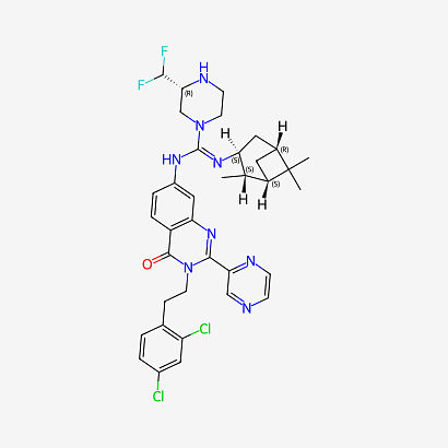 C[C@@H]1[C@@H](N=C(Nc2ccc3c(=O)n(CCc4ccc(Cl)cc4Cl)c(-c4cnccn4)nc3c2)N2CCN[C@@H](C(F)F)C2)C[C@H]2C[C@@H]1C2(C)C